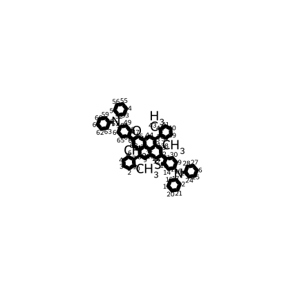 Cc1cccc(C)c1-c1cc2c3sc4cc(N(c5ccccc5)c5ccccc5)ccc4c3cc3c(-c4c(C)cccc4C)cc4c5oc6cc(N(c7ccccc7)c7ccccc7)ccc6c5cc1c4c32